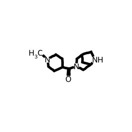 CN1CCC(C(=O)N2CC3CNC(C3)C2)CC1